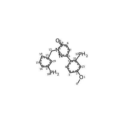 COc1ccc(-c2ccc(=O)n(Cc3cccc(P)c3)n2)c(P)c1